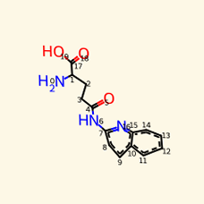 NC(CCC(=O)Nc1ccc2ccccc2n1)C(=O)O